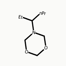 CCCC(CC)N1COCOC1